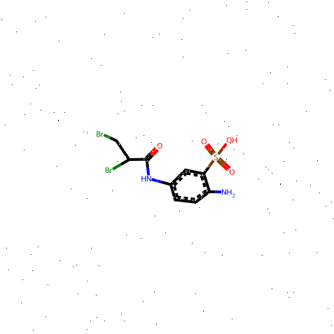 Nc1ccc(NC(=O)C(Br)CBr)cc1S(=O)(=O)O